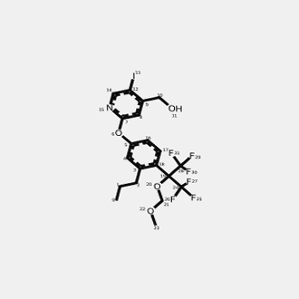 CCCc1cc(Oc2cc(CO)c(I)cn2)ccc1C(OCOC)(C(F)(F)F)C(F)(F)F